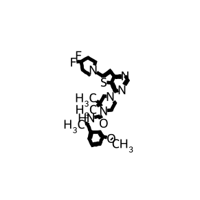 COc1cccc(C(C)NC(=O)N2CCN(c3ncnc4cc(N5CCC(F)(F)CC5)sc34)CC2(C)C)c1